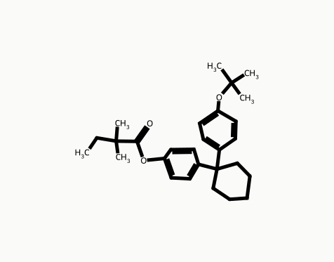 CCC(C)(C)C(=O)Oc1ccc(C2(c3ccc(OC(C)(C)C)cc3)CCCCC2)cc1